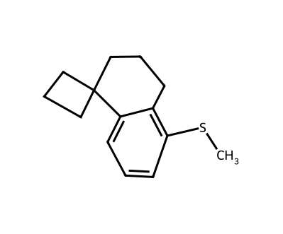 CSc1cccc2c1CCCC21CCC1